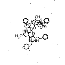 CC(C)C[C@H](NC(=O)[C@H](CCc1ccccc1)NC(=O)CN1CCOCC1)C(=O)N[C@@H](Cc1ccccc1)C(=O)N[C@@H](CC(C)C)C(=O)[C@](C)(O)COS(=O)(=O)c1ccccc1